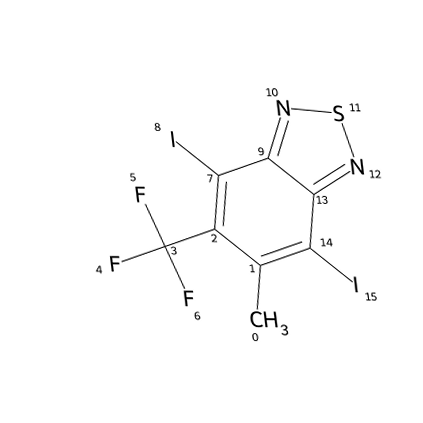 Cc1c(C(F)(F)F)c(I)c2nsnc2c1I